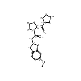 COc1ccc2c(c1)CC(CC(=O)N1CCC[C@@H]1C(=O)N1CCSC1)C2